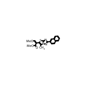 COC=C(C(=O)OC)c1sc2nc(-c3ccc4ccccc4c3)nn2c1C